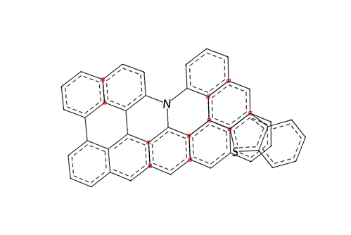 c1ccc(-c2cccc3cccc(-c4ccccc4N(c4ccccc4-c4cccc5ccccc45)c4ccccc4-c4cccc5c4sc4ccccc45)c23)cc1